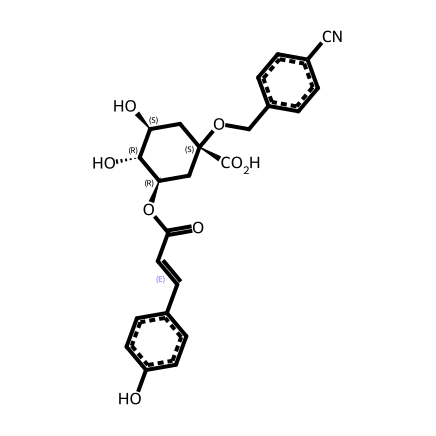 N#Cc1ccc(CO[C@@]2(C(=O)O)C[C@H](O)[C@@H](O)[C@H](OC(=O)/C=C/c3ccc(O)cc3)C2)cc1